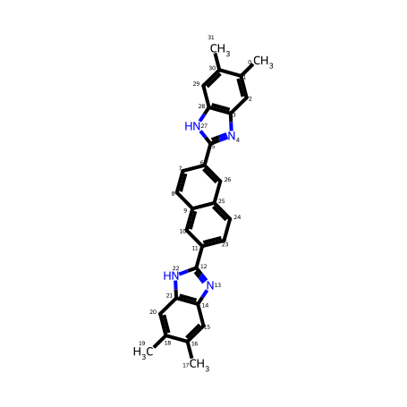 Cc1cc2nc(-c3ccc4cc(-c5nc6cc(C)c(C)cc6[nH]5)ccc4c3)[nH]c2cc1C